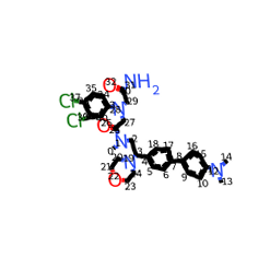 CN(CC(c1ccc(-c2ccc(N(C)C)cc2)cc1)N1CCOCC1)C(=O)CN(CC(N)=O)c1ccc(Cl)c(Cl)c1